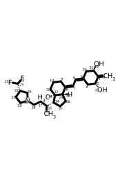 C=C1[C@H](O)CC(=C/C=C2\CCC[C@]3(C)[C@@H](C(C)CCN4CC[C@H](C(F)F)C4)CC[C@@H]23)C[C@H]1O